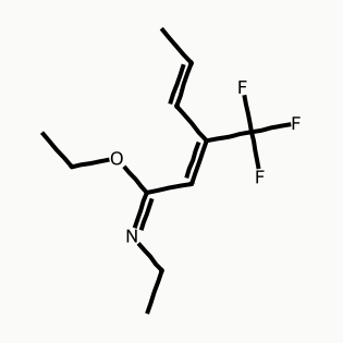 C/C=C/C(=C\C(=N/CC)OCC)C(F)(F)F